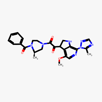 COc1cnc(-n2ncnc2C)c2c1C(C(=O)C(=O)N1CCN(C(=O)c3ccccc3)[C@H](C)C1)CN2